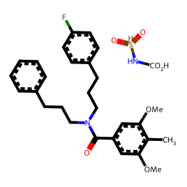 COc1cc(C(=O)N(CCCc2ccccc2)CCCc2ccc(F)cc2)cc(OC)c1C.O=C(O)N[SH](=O)=O